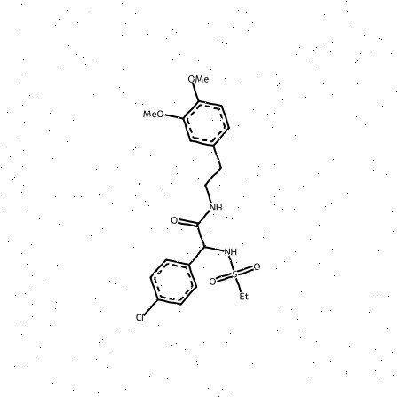 CCS(=O)(=O)NC(C(=O)NCCc1ccc(OC)c(OC)c1)c1ccc(Cl)cc1